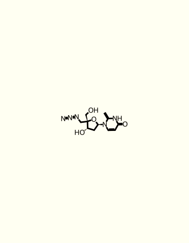 C=C1NC(=O)C=CN1[C@H]1C[C@H](O)[C@](CO)(CN=[N+]=[N-])O1